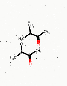 CC(=O)C(C)C.CC(=O)C(C)C